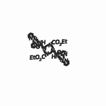 CCOC(=O)CN1CCN(CCC(=O)NCCN(Cc2ccccn2)Cc2ccccn2)CCN(CC(=O)OCC)CCN(CCC(=O)NCCN(Cc2ccccn2)Cc2ccccn2)CC1